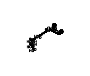 CC(CCCCN(Cc1ccc2ccccc2n1)Cc1ccc2ccccc2n1)NC(=O)CCCCCCC(=O)NCCCCC(NC(=O)NC(CCC(=O)O)C(=O)O)C(=O)O